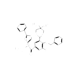 CC1(C)COC(c2cc(C(=O)N(C(=O)O)c3coc(-c4ccccc4)n3)cc(F)c2OCc2ccccc2)OC1